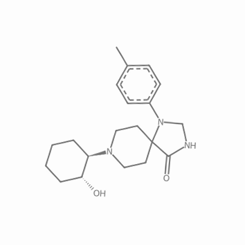 Cc1ccc(N2CNC(=O)C23CCN([C@@H]2CCCC[C@H]2O)CC3)cc1